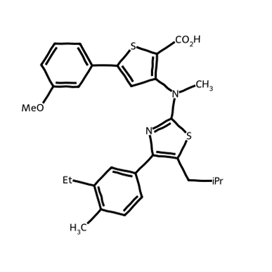 CCc1cc(-c2nc(N(C)c3cc(-c4cccc(OC)c4)sc3C(=O)O)sc2CC(C)C)ccc1C